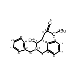 CCC(CCC(=O)OC(C)(C)C)N(Cc1ccccc1)Cc1ccccc1